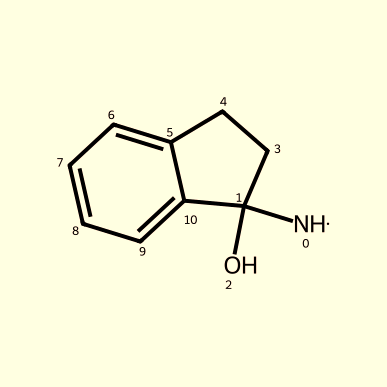 [NH]C1(O)CCc2ccccc21